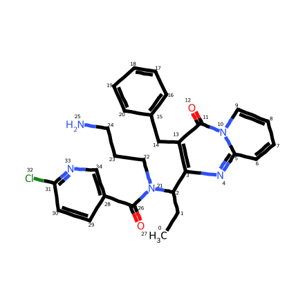 CCC(c1nc2ccccn2c(=O)c1Cc1ccccc1)N(CCCN)C(=O)c1ccc(Cl)nc1